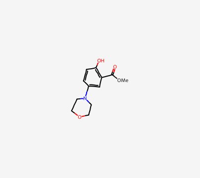 COC(=O)c1cc(N2CCOCC2)ccc1O